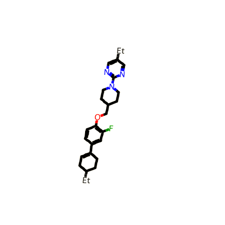 CCc1cnc(N2CCC(COc3ccc(C4=CCC(CC)CC4)cc3F)CC2)nc1